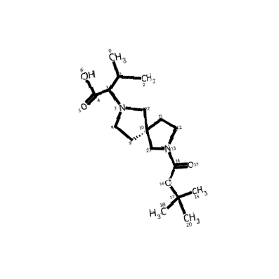 CC(C)C(C(=O)O)N1CC[C@@]2(CCN(C(=O)OC(C)(C)C)C2)C1